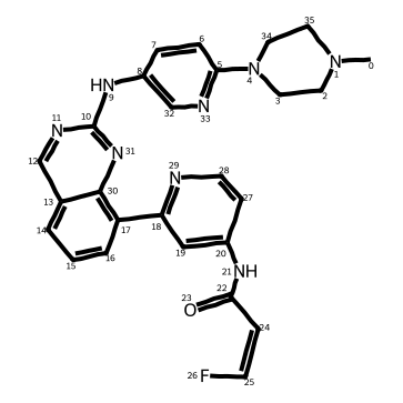 CN1CCN(c2ccc(Nc3ncc4cccc(-c5cc(NC(=O)/C=C\F)ccn5)c4n3)cn2)CC1